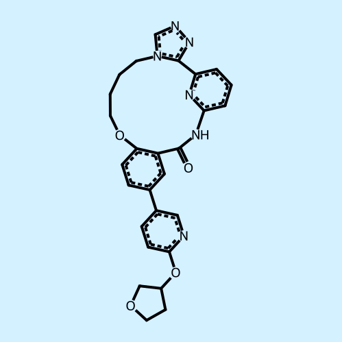 O=C1Nc2cccc(n2)-c2nncn2CCCCOc2ccc(-c3ccc(OC4CCOC4)nc3)cc21